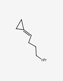 CCCCCCC=C1CC1